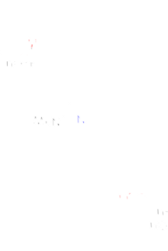 CCCCCCCCC(CCCCCC)COC(=O)CCCCCCCCCN(CCCCCCCCCC(=O)OCC(CCCCCC)CCCCCCCC)CCNC